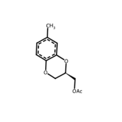 CC(=O)OC[C@H]1COc2ccc(C)cc2O1